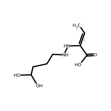 C/C=C(\NNCCCC(O)O)C(=O)O